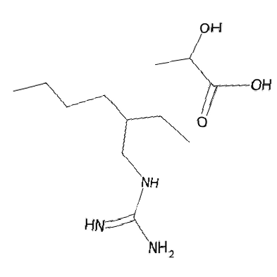 CC(O)C(=O)O.CCCCC(CC)CNC(=N)N